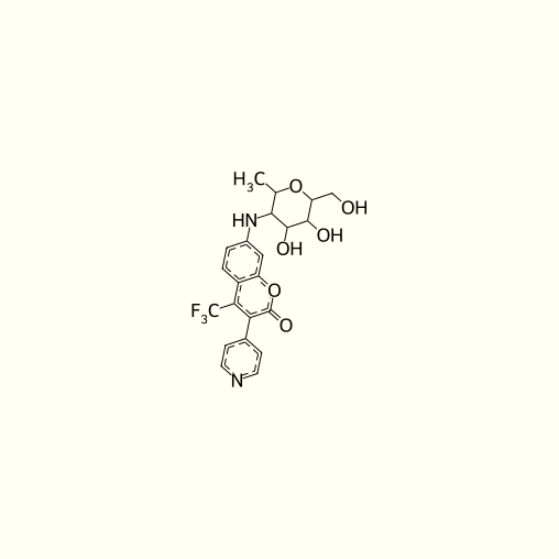 CC1OC(CO)C(O)C(O)C1Nc1ccc2c(C(F)(F)F)c(-c3ccncc3)c(=O)oc2c1